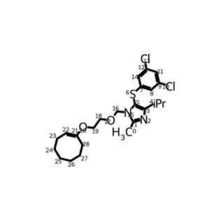 Cc1nc(C(C)C)c(Sc2cc(Cl)cc(Cl)c2)n1COCCOC1=CCCCCCC1